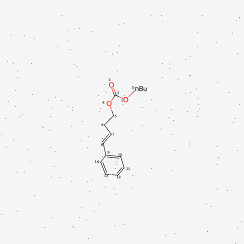 CCCCOC(=O)OCCC=Cc1ccccc1